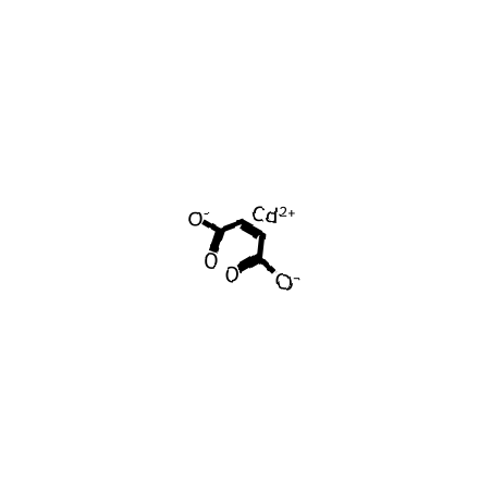 O=C([O-])/C=C\C(=O)[O-].[Cd+2]